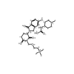 CN1CC[C@@H](NC(=O)O)[C@H](Oc2ccc3c(c2)CN(C2CCC(=O)N(COCC[Si](C)(C)C)C2=O)C3=O)C1